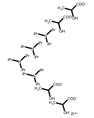 CC(C)N(C(C)C)C(C)C.CC(C)N(C(C)C)C(C)C.CC(C)N(C(C)C)C(C)C.CC(C)N(C(C)C)C(C)C.CC(O)C(=O)[O-].CC(O)C(=O)[O-].CC(O)C(=O)[O-].CC(O)C(=O)[O-].[Zr+4]